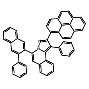 c1ccc(-c2cc3ccccc3cc2-c2cc3ccccc3c3c(-c4ccccc4)c(-c4ccc5ccc6cccc7ccc4c5c67)nn23)cc1